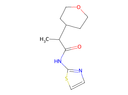 CC(C(=O)Nc1nccs1)C1CCOCC1